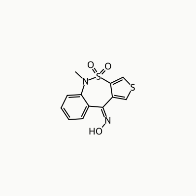 CN1c2ccccc2C(=NO)c2cscc2S1(=O)=O